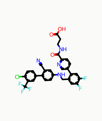 N#Cc1cc(NCc2cc(F)c(F)cc2-c2ccc(C(=O)NCCC(=O)O)nc2)ccc1-c1ccc(Cl)c(C(F)(F)F)c1